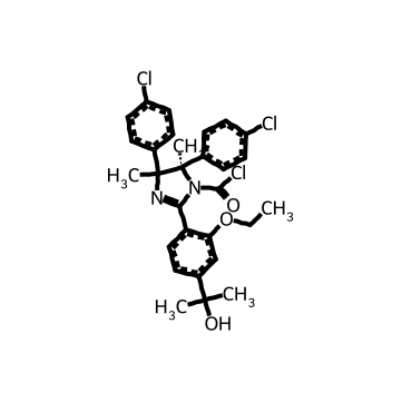 CCOc1cc(C(C)(C)O)ccc1C1=NC(C)(c2ccc(Cl)cc2)[C@@](C)(c2ccc(Cl)cc2)N1C(=O)Cl